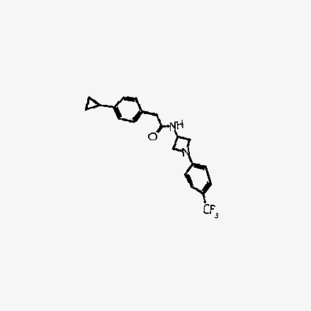 O=C(Cc1ccc(C2CC2)cc1)NC1CN(c2ccc(C(F)(F)F)cc2)C1